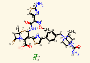 CON=C(C(=O)NC1S[C@H]2CC(=S)N2C(C(=O)O)=C1c1nc(-c2ccc(C[N+]34CC[N+](C(N)=O)(CC3)CC4C)cc2)cs1)c1csc(N)n1.[Cl-].[Cl-]